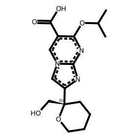 CC(C)Oc1nc2nc([C@]3(CO)CCCCO3)cn2cc1C(=O)O